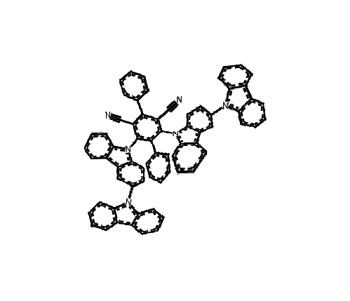 N#Cc1c(-c2ccccc2)c(C#N)c(-n2c3ccccc3c3cc(-n4c5ccccc5c5ccccc54)ccc32)c(-c2ccccc2)c1-n1c2ccccc2c2cc(-n3c4ccccc4c4ccccc43)ccc21